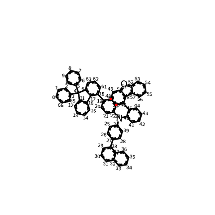 c1ccc(C2(c3ccccc3)c3ccccc3-c3c(-c4ccc(N(c5ccc(-c6cccc7ccccc67)cc5)c5ccccc5-c5cccc6oc7ccccc7c56)cc4)cccc32)cc1